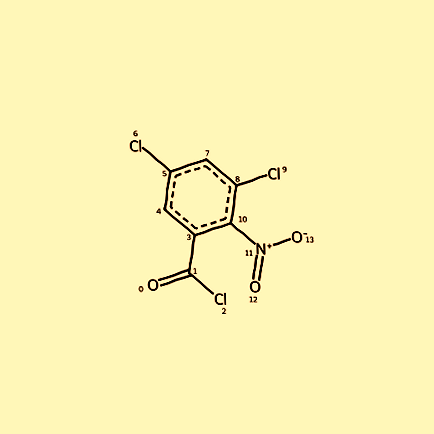 O=C(Cl)c1cc(Cl)cc(Cl)c1[N+](=O)[O-]